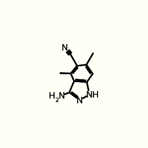 Cc1cc2[nH]nc(N)c2c(C)c1C#N